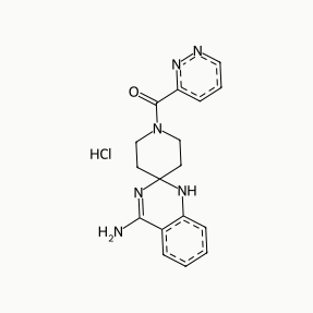 Cl.NC1=NC2(CCN(C(=O)c3cccnn3)CC2)Nc2ccccc21